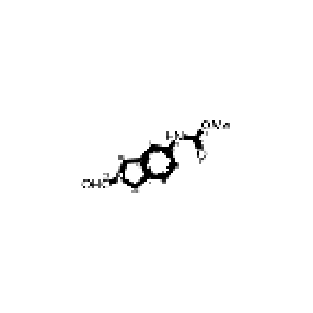 COC(=O)Nc1ccc2c(c1)CN(C=O)C2